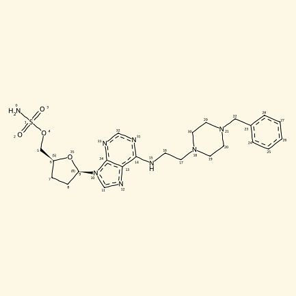 NS(=O)(=O)OC[C@@H]1CC[C@H](n2cnc3c(NCCN4CCN(Cc5ccccc5)CC4)ncnc32)O1